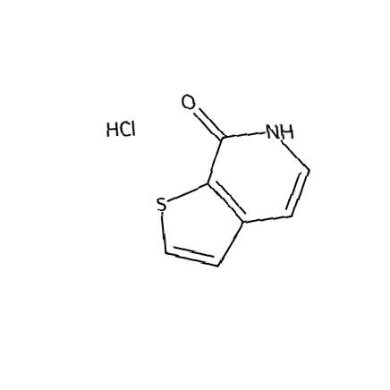 Cl.O=c1[nH]ccc2ccsc12